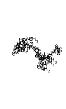 CCCC1O[C@@H]2C[C@@H]3C(C[C@H](O)[C@H]4[C@H]3CCC3=CC(=O)C=C[C@@]34C)[C@]2(C(=O)COC(=O)NCc2ccc(NC(=O)[C@H](CCCNC(N)=O)NC(=O)C(NC(=O)CCCCCN3C(=O)C=CC3=O)C(C)C)cc2)O1